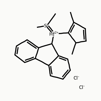 CC1=[C]([Hf+2]([CH]2c3ccccc3-c3ccccc32)=[Si](C)C)C(C)C=C1.[Cl-].[Cl-]